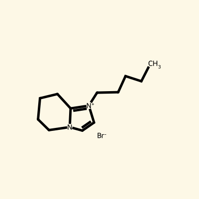 CCCCC[n+]1ccn2c1CCCC2.[Br-]